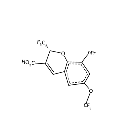 CCCc1cc(OC(F)(F)F)cc2c1O[C@@H](C(F)(F)F)C(C(=O)O)=C2